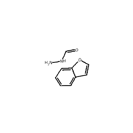 NNC=O.c1ccc2occc2c1